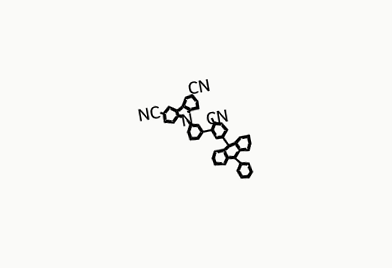 N#Cc1ccc2c(c1)c1cc(C#N)ccc1n2-c1cccc(-c2cc(-c3c4ccccc4c(-c4ccccc4)c4ccccc34)ccc2C#N)c1